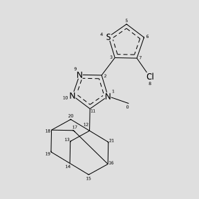 Cn1c(-c2sccc2Cl)nnc1C12CC3CC(CC(C3)C1)C2